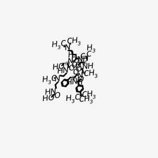 CCN(CC)CCCC[C@H](NC(=O)[C@H](CC(C)C)NC(=O)[C@H](C)NC(=O)[C@H](Cc1ccccc1)NC(=O)c1ccc(C(C)(C)C)cc1)C(=O)N[C@@H](CO)C(=O)NCCCN(C)CCCNC(=O)O